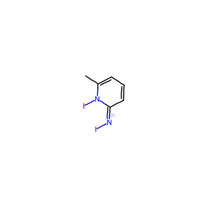 Cc1ccc/c(=N/I)n1I